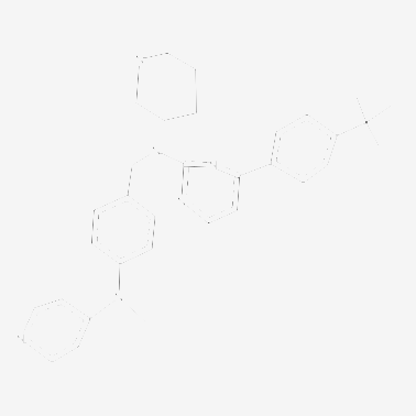 CN(c1ccncc1)c1ccc(CN(c2nccc(-c3ccc(C(F)(F)F)cc3)n2)[C@H]2CCCNC2)cc1